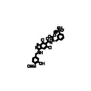 COc1ccc(CNc2nsc3c(Cl)c(C(=O)N[C@@H](Cc4cccc(S(C)(=O)=O)c4)C(=O)OC(C)C)c(Cl)cc23)cc1O